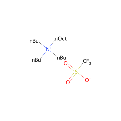 CCCCCCCC[N+](CCCC)(CCCC)CCCC.O=S(=O)([O-])C(F)(F)F